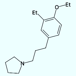 CCOc1ccc(CCCN2CCCC2)cc1CC